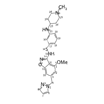 COc1cc(Cn2cccn2)cc2onc(NSc3cccc(NC4CCN(C)CC4)c3)c12